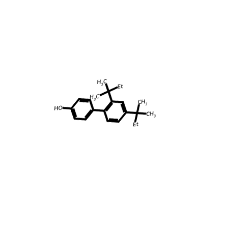 CCC(C)(C)c1ccc(-c2ccc(O)cc2)c(C(C)(C)CC)c1